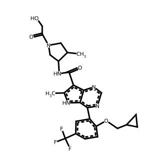 Cc1[nH]c2c(-c3cc(C(F)(F)F)ccc3OCC3CC3)ncnc2c1C(=O)NC1CN(C(=O)CO)CC1C